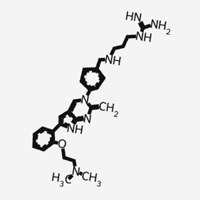 C=C1N=c2[nH]c(-c3ccccc3OCCN(C)C)cc2=CN1c1ccc(CNCCCNC(=N)N)cc1